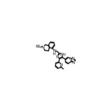 Cc1cccc(-c2nc(CNc3cccc4c3CCN(C(C)(C)C)C4)[nH]c2-c2ccc3ncnn3c2)n1